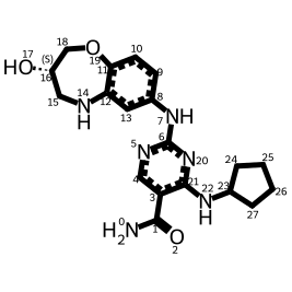 NC(=O)c1cnc(Nc2ccc3c(c2)NC[C@H](O)CO3)nc1NC1CCCC1